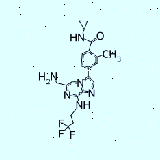 Cc1cc(-c2cnc3c(NCCC(F)(F)F)nc(CN)cn23)ccc1C(=O)NC1CC1